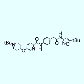 CC(C)(C)c1cc(NC(=O)Cc2ccc(NC(=O)c3ccc(OC4CCN(C(C)(C)C)CC4)cn3)cc2)no1